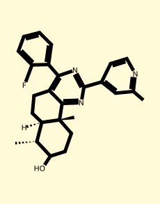 Cc1cc(-c2nc(-c3ccccc3F)c3c(n2)[C@]2(C)CCC(O)[C@H](C)[C@H]2CC3)ccn1